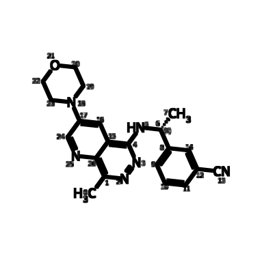 Cc1nnc(N[C@H](C)c2cccc(C#N)c2)c2cc(N3CCOCC3)cnc12